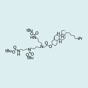 CC(C)CCC[C@@H](C)[C@H]1CC[C@H]2[C@@H]3CC=C4C[C@@H](OC(=O)CN(CCCCN(CCCNC(=O)OC(C)(C)C)C(=O)OC(C)(C)C)CCCNC(=O)OC(C)(C)C)CC[C@]4(C)[C@H]3CC[C@]12C